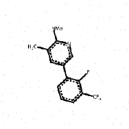 CNc1ncc(-c2cccc(C(F)(F)F)c2F)cc1C